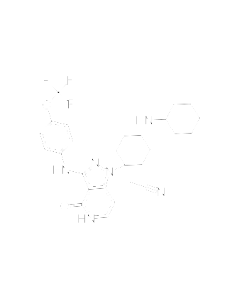 N#CC[C@]1(n2nc(Nc3ccc(OC(F)(F)F)cc3)c3c(=O)[nH]ccc32)CC[C@H](NC2CCCCC2)CC1